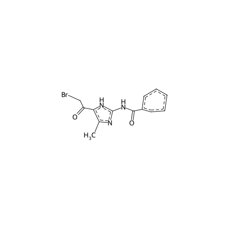 Cc1nc(NC(=O)c2ccccc2)[nH]c1C(=O)CBr